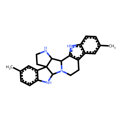 Cc1ccc2c(c1)C13CCNC1C1c4[nH]c5ccc(C)cc5c4CCN1C3N2